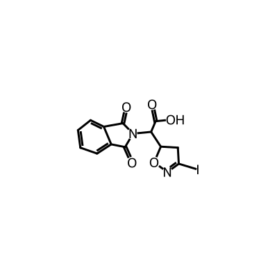 O=C(O)C(C1CC(I)=NO1)N1C(=O)c2ccccc2C1=O